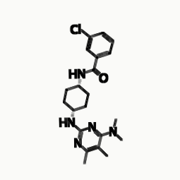 Cc1nc(N[C@H]2CC[C@@H](NC(=O)c3cccc(Cl)c3)CC2)nc(N(C)C)c1C